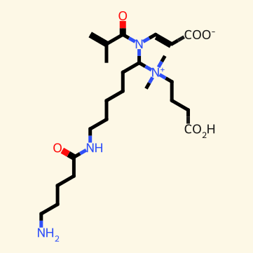 C=C(C)C(=O)N(C=CC(=O)[O-])C(CCCCCNC(=O)CCCCN)[N+](C)(C)CCCC(=O)O